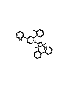 Cc1ccccc1C1C=C(c2ccccn2)C=CN1C1=CC2(C)[n+]3ccccc3-c3ccccc3C12C